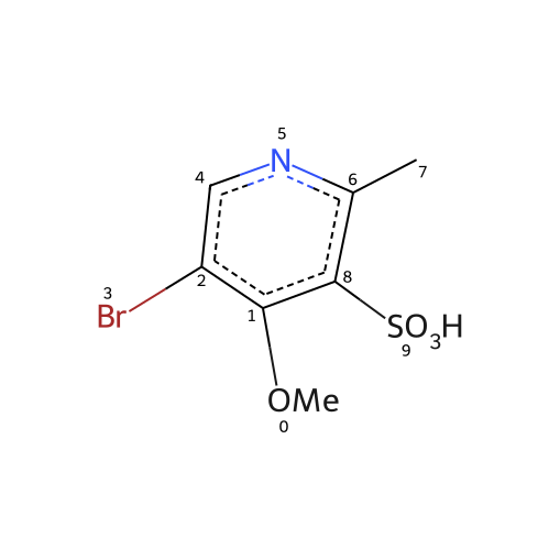 COc1c(Br)cnc(C)c1S(=O)(=O)O